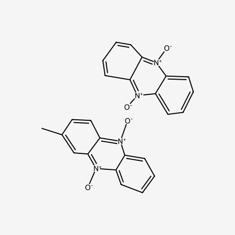 Cc1ccc2c(c1)[n+]([O-])c1ccccc1[n+]2[O-].[O-][n+]1c2ccccc2[n+]([O-])c2ccccc21